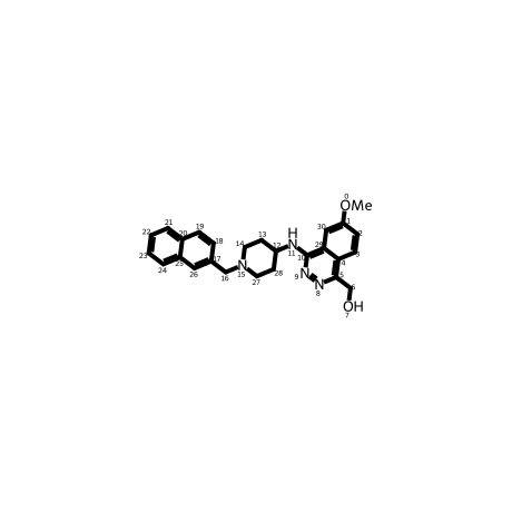 COc1ccc2c(CO)nnc(NC3CCN(Cc4ccc5ccccc5c4)CC3)c2c1